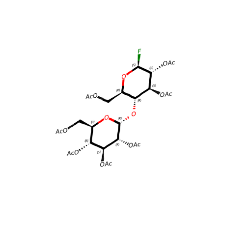 CC(=O)OC[C@H]1O[C@@H](F)[C@H](OC(C)=O)[C@@H](OC(C)=O)[C@@H]1O[C@H]1O[C@H](COC(C)=O)[C@@H](OC(C)=O)[C@H](OC(C)=O)[C@H]1OC(C)=O